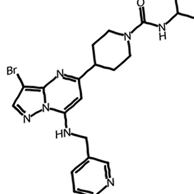 CC(C)NC(=O)N1CCC(c2cc(NCc3cccnc3)n3ncc(Br)c3n2)CC1